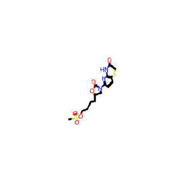 CS(=O)(=O)OCCCCC1CN(c2ccc3c(n2)NC(=O)CS3)C(=O)O1